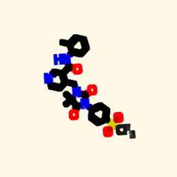 Cc1ccccc1NC(=O)c1cnccc1CN1C(=O)N(c2ccc(S(=O)(=O)C(F)(F)F)cc2)C(=O)C1(C)C